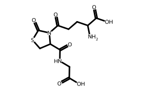 NC(CCC(=O)N1C(=O)SCC1C(=O)NCC(=O)O)C(=O)O